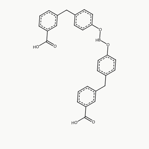 O=C(O)c1cccc(Cc2ccc(OBOc3ccc(Cc4cccc(C(=O)O)c4)cc3)cc2)c1